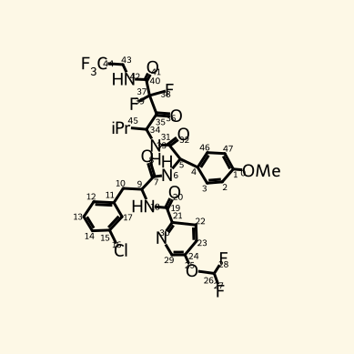 COc1ccc(C(NC(=O)C(Cc2cccc(Cl)c2)NC(=O)c2ccc(OC(F)F)cn2)C(=O)NC(C(=O)C(F)(F)C(=O)NCC(F)(F)F)C(C)C)cc1